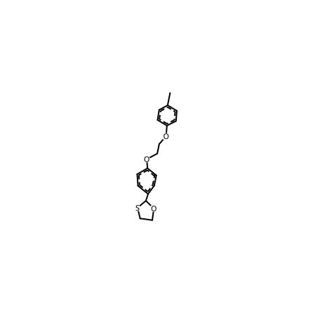 Cc1ccc(OCCOc2ccc(C3OCCS3)cc2)cc1